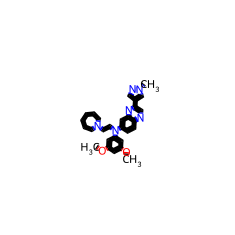 COc1cc(OC)cc(N(CCN2CCCCCC2)c2ccc3ncc(-c4cnn(C)c4)nc3c2)c1